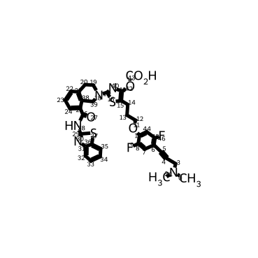 CN(C)CC#Cc1cc(F)c(OCCCc2sc(N3CCc4cccc(C(=O)Nc5nc6ccccc6s5)c4C3)nc2OC(=O)O)cc1F